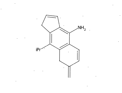 C=C1C=Cc2c(N)c3c(c(C(C)C)c2C1)CC=C3